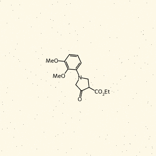 CCOC(=O)C1CN(c2cccc(OC)c2OC)CC1=O